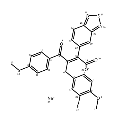 COc1ccc(CC(C(=O)c2ccc(SC)cc2)=C(C(=O)[O-])c2ccc3nsnc3c2)cc1F.[Na+]